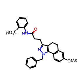 COc1ccc2c(c1)CCc1c(CCC(=O)Nc3ccccc3C(=O)O)nn(Cc3ccccc3)c1-2